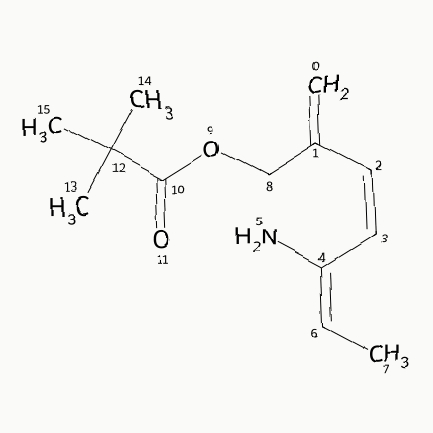 C=C(/C=C\C(N)=C/C)COC(=O)C(C)(C)C